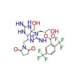 N=C1NC2C(CN3C(=O)CCC3=O)NC(=N)N(C[C@@H](CO)OC(=O)c3cc(C(F)(F)F)ccc3C(F)(F)F)C2(CO)N1